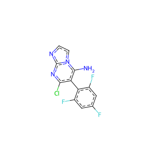 Nc1c(-c2c(F)cc(F)cc2F)c(Cl)nc2nccn12